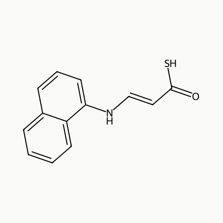 O=C(S)/C=C/Nc1cccc2ccccc12